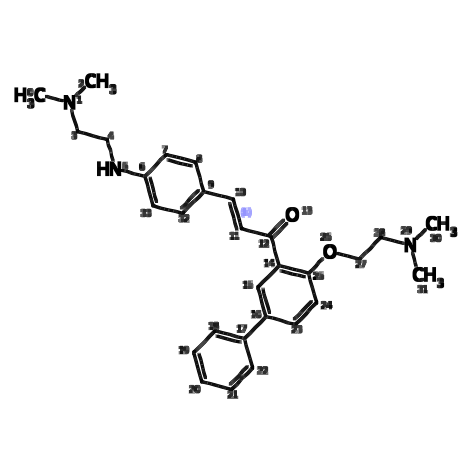 CN(C)CCNc1ccc(/C=C/C(=O)c2cc(-c3ccccc3)ccc2OCCN(C)C)cc1